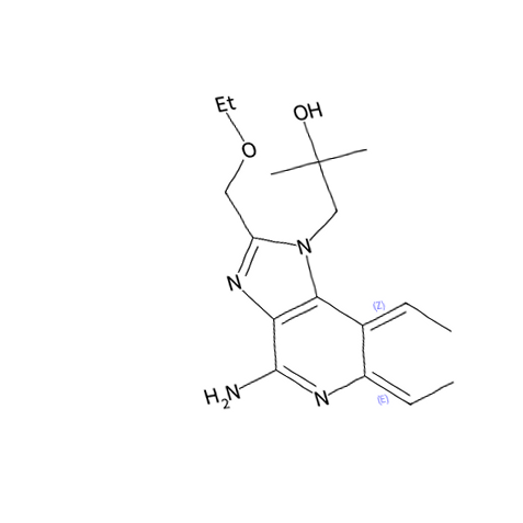 C/C=c1\c(=C/C)nc(N)c2nc(COCC)n(CC(C)(C)O)c12